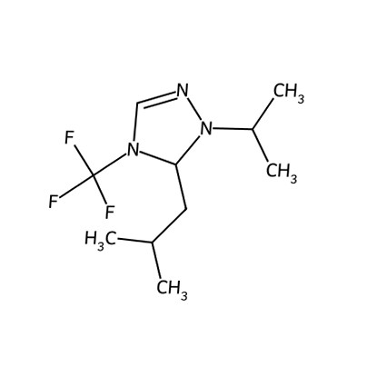 CC(C)CC1N(C(C)C)N=CN1C(F)(F)F